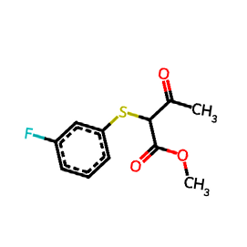 COC(=O)C(Sc1cccc(F)c1)C(C)=O